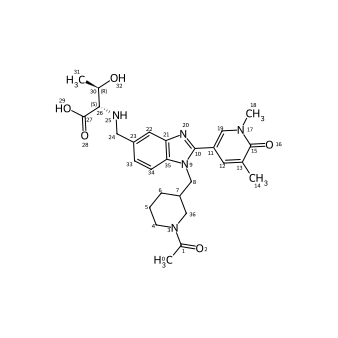 CC(=O)N1CCCC(Cn2c(-c3cc(C)c(=O)n(C)c3)nc3cc(CN[C@H](C(=O)O)[C@@H](C)O)ccc32)C1